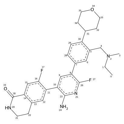 CCN(C)Cc1cc(-c2cc(-c3cc4c(cc3F)C(=O)NCC4)c(N)nc2F)ccc1C1CCOCC1